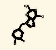 Nc1nc(Cl)c2cnn(Cc3ccc(Cl)c(F)c3)c2n1